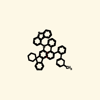 CC1C=CC=C(c2ccccc2-c2ccccc2-c2ccccc2N(c2ccc3c(c2)C2(CCCCC2)c2ccccc2-3)c2cccc3sc4ccccc4c23)C1